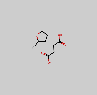 CC1CCCO1.O=C(O)CCC(=O)O